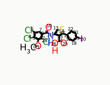 COc1c(Cl)c(Cl)cc(C(=O)Nc2csc(-c3ccc(I)cc3)c2C(=O)O)c1Cl